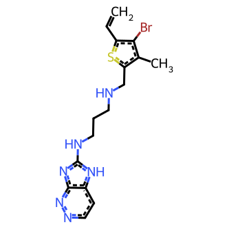 C=Cc1sc(CNCCCNc2nc3nnccc3[nH]2)c(C)c1Br